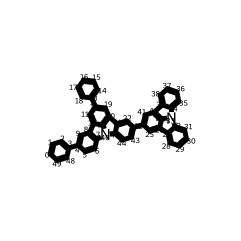 c1ccc(-c2ccc3c(c2)c2cc(-c4ccccc4)cc4c5cc(-c6cc7c8ccccc8n8c9ccccc9c(c6)c78)ccc5n3c24)cc1